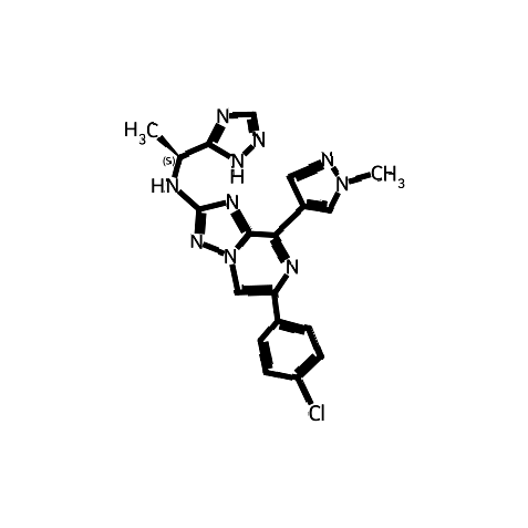 C[C@H](Nc1nc2c(-c3cnn(C)c3)nc(-c3ccc(Cl)cc3)cn2n1)c1ncn[nH]1